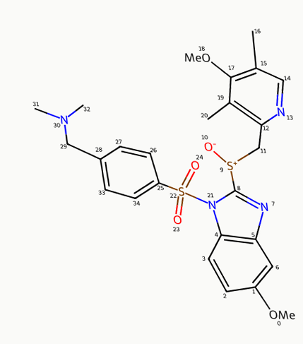 COc1ccc2c(c1)nc([S+]([O-])Cc1ncc(C)c(OC)c1C)n2S(=O)(=O)c1ccc(CN(C)C)cc1